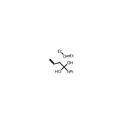 C=CCC(O)(O)CCC.CCOCC